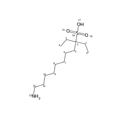 CCC(CC)(CCCCCCCCN)S(=O)(=O)O